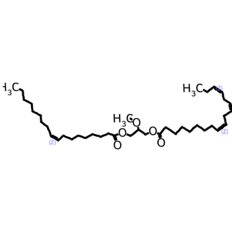 CC/C=C\C/C=C\C/C=C\CCCCCCCC(=O)OCC(COC(=O)CCCCCCC/C=C\CCCCCCCC)OC